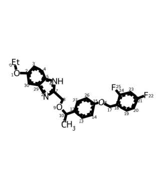 CCOc1ccc2[nH]c(COC(C)c3ccc(OCc4ccc(F)cc4F)cc3)nc2c1